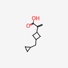 C=C(C(=O)O)C1CC(CC2CC2)C1